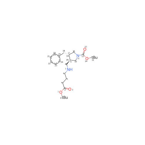 CC(C)(C)OC(=O)CCCNC[C@@H]1CN(C(=O)OC(C)(C)C)C[C@H]1Cc1ccccc1